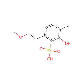 COCCc1ccc(C)c(O)c1S(=O)(=O)O